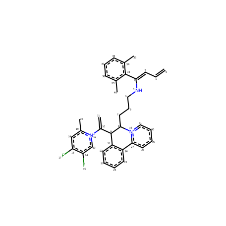 C=C/C=C(\NCCCC1C(C(=C)[n+]2cc(F)c(F)cc2C)c2ccccc2-c2cccc[n+]21)c1c(C)cccc1C